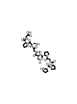 O=C(O)CNC(=O)[C@@H]1CCCN1C(=O)[C@H](CS)NC(=O)CNC(=O)[C@H](CS)NC(=O)[C@@H]1CCCN1C(=O)CNC(=O)[C@@H]1CCCN1C(=O)[C@@H]1CCCN1